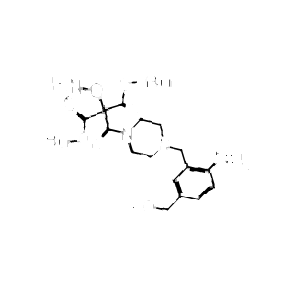 CC(C)(C)OC(=O)C(ON)(C(=O)OC(C)(C)C)C(=O)N1CCN(Cc2cc(CO)ccc2N)CC1